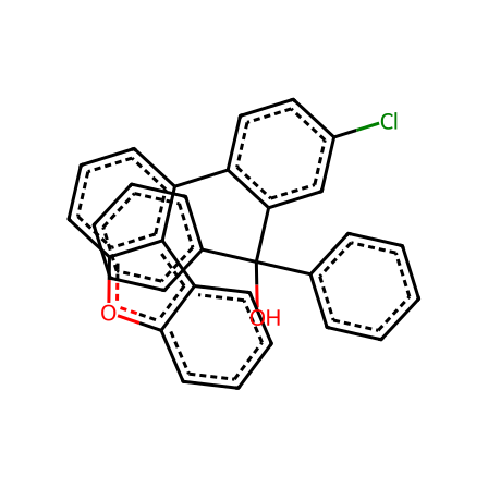 OC(c1ccccc1)(c1ccccc1)c1cc(Cl)ccc1-c1cccc2oc3ccccc3c12